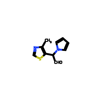 Cc1ncsc1C(C=O)n1cccc1